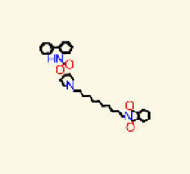 O=C(Nc1ccccc1-c1ccccc1)OC1CCN(CCCCCCCCCCCN2C(=O)c3ccccc3C2=O)CC1